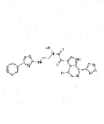 CCCN(CCNc1nc(-c2ccccc2)cs1)C(=O)C(=O)c1c[nH]c2c(-n3ccnn3)ncc(F)c12